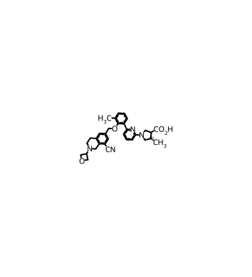 Cc1cccc(-c2cccc(N3CC(C(=O)O)[C@@H](C)C3)n2)c1OCc1cc(C#N)c2c(c1)CCN(C1COC1)C2